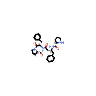 O=C[C@@H]1C=CCN1C(=O)[C@H](Cc1ccccc1)NC(=O)C[C@H](Cc1ccccc1)NC(=O)[C@@H]1CCCN1